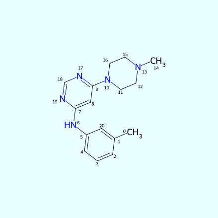 Cc1cccc(Nc2cc(N3CCN(C)CC3)ncn2)c1